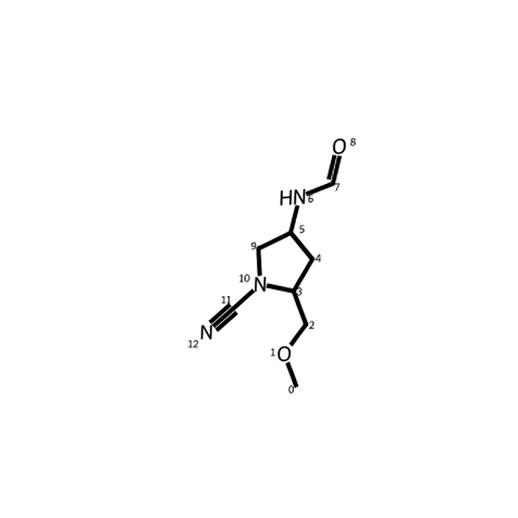 COCC1CC(NC=O)CN1C#N